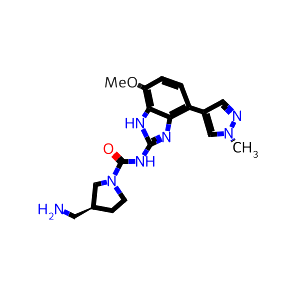 COc1ccc(-c2cnn(C)c2)c2nc(NC(=O)N3CC[C@@H](CN)C3)[nH]c12